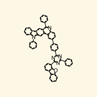 c1ccc(-c2nc(-c3ccc(-c4ccc5nc(-c6ccccc6)c6cc7c8ccccc8n(-c8ccccc8)c7cc6c5c4)cc3)nc(-c3cccc4c3oc3ccccc34)n2)cc1